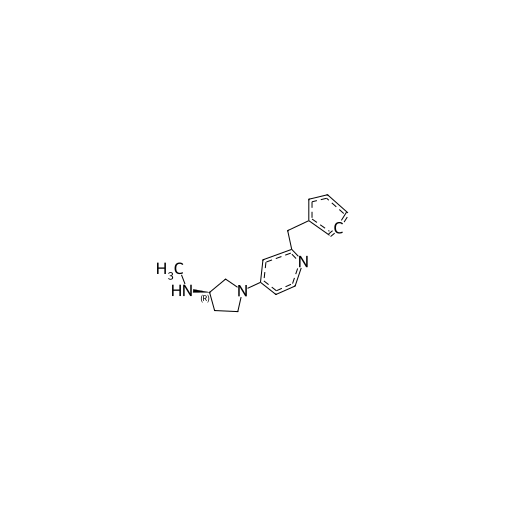 CN[C@@H]1CCN(c2ccnc(Cc3ccccc3)c2)C1